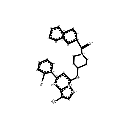 Cc1cnn2c(NC3CCN(C(=O)c4ccc5ccccc5c4)CC3)cc(-c3ccccc3Cl)nc12